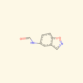 O=CNc1ccc2oncc2c1